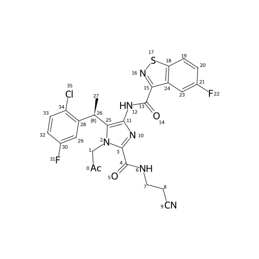 CC(=O)Cn1c(C(=O)NCCC#N)nc(NC(=O)c2nsc3ccc(F)cc23)c1[C@H](C)c1cc(F)ccc1Cl